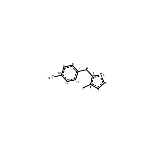 Cc1ccsc1Cc1ccc(F)cc1